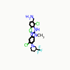 Cn1c(Nc2c(Cl)ccc(CN)c2Cl)nc2cc(Cl)c(N3CCCC(C(F)(F)F)C3)cc21